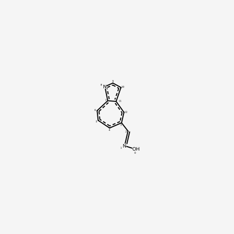 ON=Cc1cccc2nccc-2c1